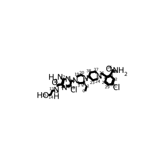 CC[C@H]1CN(c2nc(N)c(C(=O)NCCO)nc2Cl)CCN1C1CCN(Cc2ccc(Cl)cc2C(N)=O)CC1